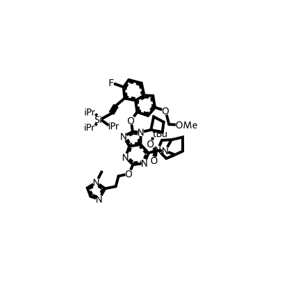 COCOc1cc(Oc2nc3nc(OCCc4nccn4C)nc(N4CC5CCC(C4)N5C(=O)OC(C)(C)C)c3n2C2CCC2)c2c(C#C[Si](C(C)C)(C(C)C)C(C)C)c(F)ccc2c1